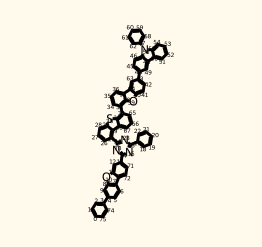 c1ccc(-c2ccc3c(c2)oc2cc(-c4nc(-c5ccccc5)nc(-c5cccc6sc7c(-c8cccc9c8oc8ccc(-c%10ccc%11c(c%10)c%10ccccc%10n%11-c%10ccccc%10)cc89)cccc7c56)n4)ccc23)cc1